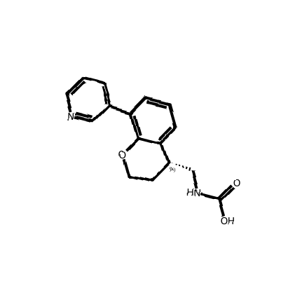 O=C(O)NC[C@@H]1CCOc2c(-c3cccnc3)cccc21